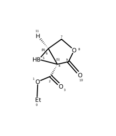 CCOC(=O)[C@]12B[C@H]1COC2=O